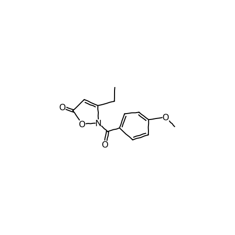 CCc1cc(=O)on1C(=O)c1ccc(OC)cc1